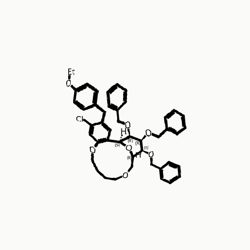 CCOc1ccc(Cc2cc3c(cc2Cl)OCCCCOC[C@H]2O[C@@H]3[C@@H](OCc3ccccc3)[C@@H](OCc3ccccc3)[C@H]2OCc2ccccc2)cc1